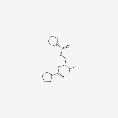 CC(C)C(COC(=O)N1CCCC1)OC(=O)N1CCCC1